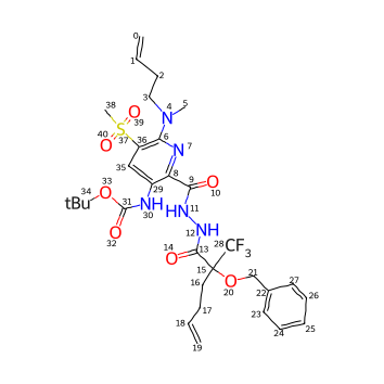 C=CCCN(C)c1nc(C(=O)NNC(=O)C(CCC=C)(OCc2ccccc2)C(F)(F)F)c(NC(=O)OC(C)(C)C)cc1S(C)(=O)=O